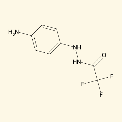 Nc1ccc(NNC(=O)C(F)(F)F)cc1